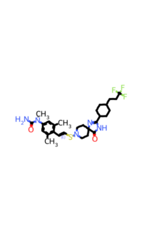 Cc1cc(N(C)C(N)=O)cc(C)c1/C=C/SN1CCC2(CC1)N=C(C1CCC(CCC(F)(F)F)CC1)NC2=O